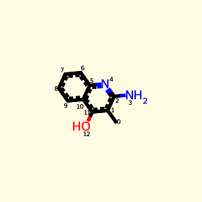 Cc1c(N)nc2ccccc2c1O